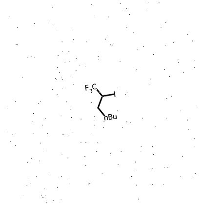 CCCCCC(I)C(F)(F)F